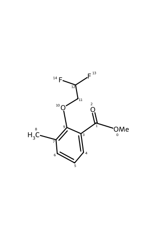 COC(=O)c1cccc(C)c1OCC(F)F